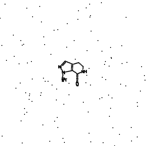 CC(C)n1ncc2c1C(=O)NCC2